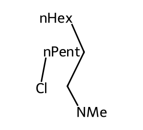 CCCCCCCCNC.CCCCCCl